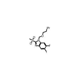 CC(C)CCOCn1c(S(C)(=O)=O)nc2cc(I)c(F)cc21